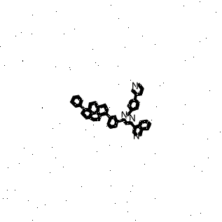 c1ccc(-c2ccc3ccc4c(-c5cccc(-c6cc(-c7cncc8ccccc78)nc(-c7ccc(-c8cccnc8)cc7)n6)c5)ccc5ccc2c3c54)cc1